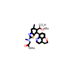 CNC(=O)CN(C)c1nc2cc(C)c([C@H](OC(C)(C)C)C(=O)O)c(-c3ccc4c5c(ccnc35)CCO4)c2s1